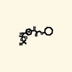 CCC(C)(C)OC(C)(CC)NC12CCC(NC(=O)COC3CCCCCCC3)(CC1)CC2